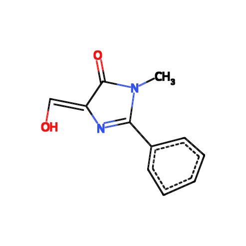 CN1C(=O)C(=CO)N=C1c1ccccc1